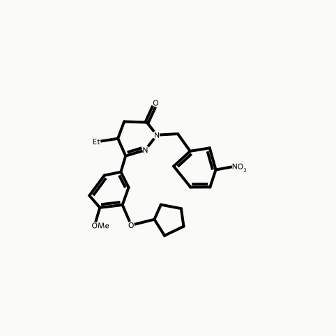 CCC1CC(=O)N(Cc2cccc([N+](=O)[O-])c2)N=C1c1ccc(OC)c(OC2CCCC2)c1